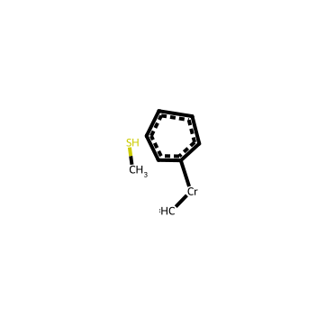 CS.[CH][Cr][c]1ccccc1